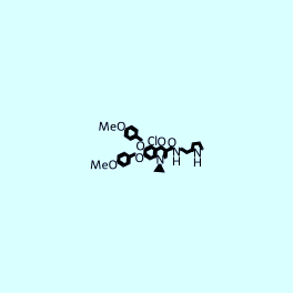 COc1ccc(COc2cc3c(c(Cl)c2OCc2ccc(OC)cc2)c(=O)c(C(=O)NCCC2CCCN2)cn3C2CC2)cc1